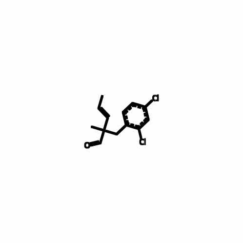 CC=CC(C)(C=O)Cc1ccc(Cl)cc1Cl